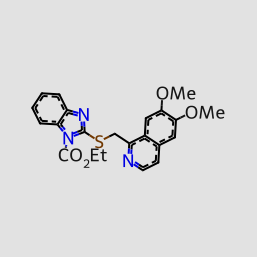 CCOC(=O)n1c(SCc2nccc3cc(OC)c(OC)cc23)nc2ccccc21